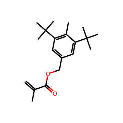 C=C(C)C(=O)OCc1cc(C(C)(C)C)c(C)c(C(C)(C)C)c1